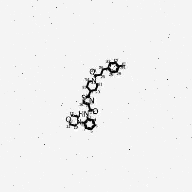 O=C(Nc1ccccc1N1CCOCC1)c1csc(C2CCN(C(=O)CCc3ccc(F)cc3)CC2)n1